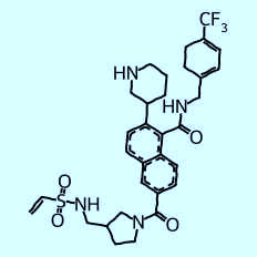 C=CS(=O)(=O)NCC1CCN(C(=O)c2ccc3c(C(=O)NCC4=CC=C(C(F)(F)F)CC4)c(C4CCCNC4)ccc3c2)C1